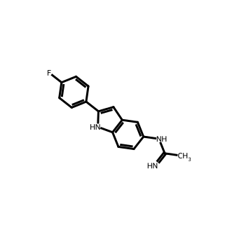 CC(=N)Nc1ccc2[nH]c(-c3ccc(F)cc3)cc2c1